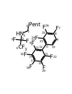 CCCC(C)CNC(F)(F)C(F)(F)F.Fc1ccc(-c2c(F)c(F)c(F)c(F)c2F)c(F)c1F